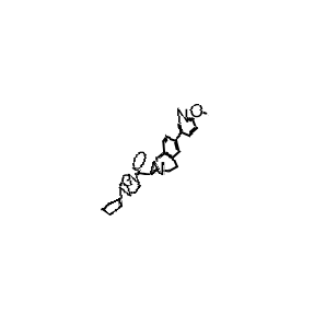 COc1ccc(-c2ccc3c(c2)CCN(CC(=O)N2CCN(C4CCCC4)CC2)C3)cn1